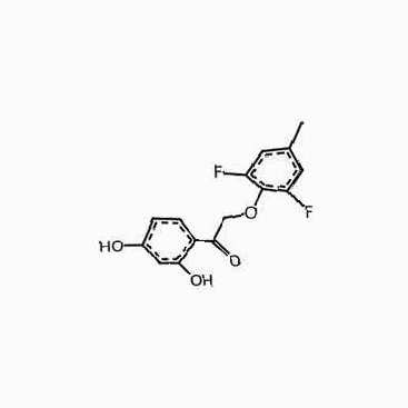 Cc1cc(F)c(OCC(=O)c2ccc(O)cc2O)c(F)c1